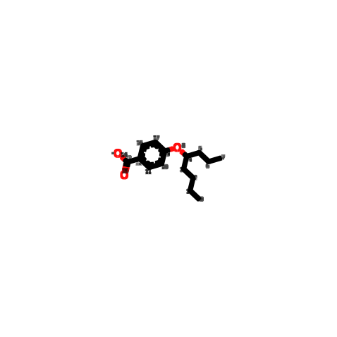 CCCCC(CCC)Oc1ccc(C([O])=O)cc1